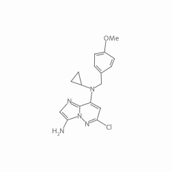 COc1ccc(CN(c2cc(Cl)nn3c(N)cnc23)C2CC2)cc1